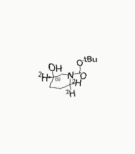 [2H]C1([2H])CC[C@]([2H])(O)CN1C(=O)OC(C)(C)C